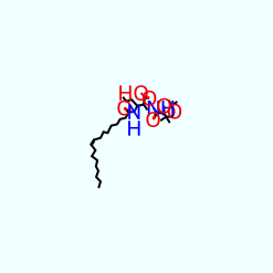 CCCCCCCC/C=C\CCCCCCCC(=O)NC(CCC)C(CNC(=O)C1OC(C)(C)OCC1(C)C)C(=O)O